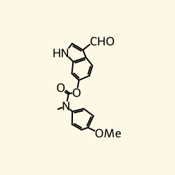 COc1ccc(N(C)C(=O)Oc2ccc3c(C=O)c[nH]c3c2)cc1